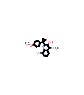 O=C(O)c1c(O)c(C2(c3ccc(OC(F)(F)F)cc3)CC2)nc2c(C(F)(F)F)cccc12